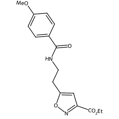 CCOC(=O)c1cc(CCNC(=O)c2ccc(OC)cc2)on1